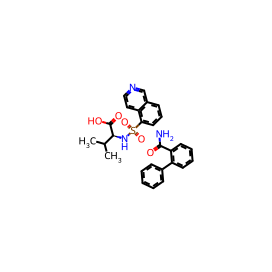 CC(C)[C@H](NS(=O)(=O)c1cccc2cnccc12)C(=O)O.NC(=O)c1ccccc1-c1ccccc1